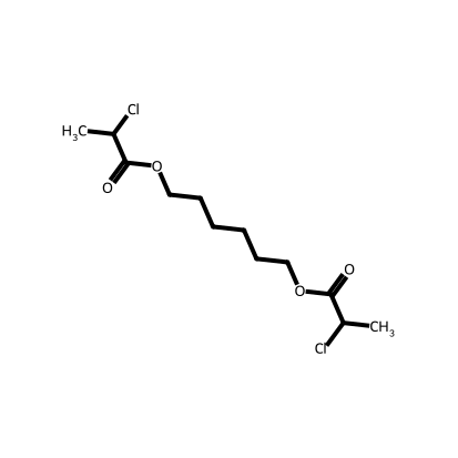 CC(Cl)C(=O)OCCCCCCOC(=O)C(C)Cl